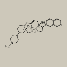 CN1CCN(C2CCC3=CC4=CC[C@]5(N)C(c6ccc7ccncc7c6)CC[C@H]5[C@@]45CC[C@]3(C2)O5)CC1